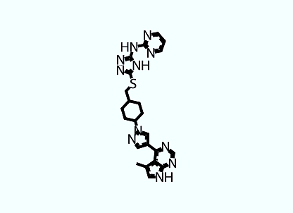 Cc1c[nH]c2ncnc(-c3cnn(C4CCC(CSc5nnc(Nc6ncccn6)[nH]5)CC4)c3)c12